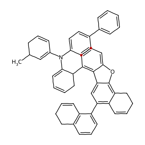 CC1C=C(N(C2=CC=CCC2c2cccc3oc4c5c(c(-c6cccc7c6C=CCC7)cc4c23)C=CCC5)c2ccc(-c3ccccc3)cc2)C=CC1